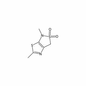 Cc1nc2c(s1)N(C)S(=O)(=O)C2